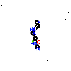 O=C(Nc1ccncc1)c1ccc(-c2ccc3nnn(Cc4ccc5ncccc5c4)c3n2)cc1F